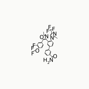 Cc1nc(-c2cc(-c3cccc(C(N)=O)c3)ccc2-n2cc(C(F)(F)F)nc2C)c(-c2ccc(OC(F)F)c(F)c2)o1